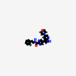 O=C(NCCc1ccccc1F)c1ncc(-c2c[nH]c3ncc(N4CCOCC4)cc23)cn1